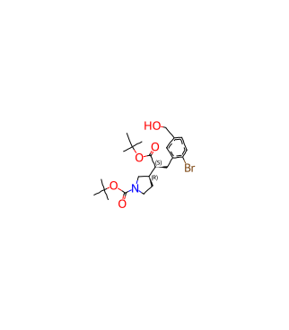 CC(C)(C)OC(=O)[C@@H](Cc1cc(CO)ccc1Br)[C@H]1CCN(C(=O)OC(C)(C)C)C1